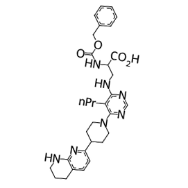 CCCc1c(NCC(NC(=O)OCc2ccccc2)C(=O)O)ncnc1N1CCC(c2ccc3c(n2)NCCC3)CC1